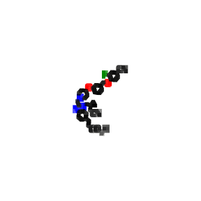 N#CCC1(Cn2c(CN3CCC(Oc4cccc(COc5ccc(C#N)cc5F)c4)CC3)nc3ccc(/C=C/C(=O)O)cc32)CC1